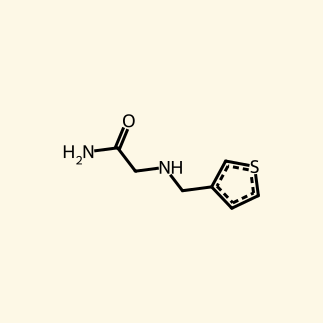 NC(=O)CNCc1ccsc1